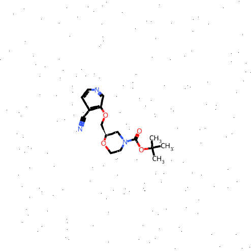 CC(C)(C)OC(=O)N1CCO[C@@H](COc2cnccc2C#N)C1